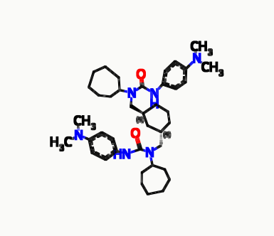 CN(C)c1ccc(NC(=O)N(C[C@H]2CCC[C@H](CN(C(=O)Nc3ccc(N(C)C)cc3)C3CCCCCC3)C2)C2CCCCCC2)cc1